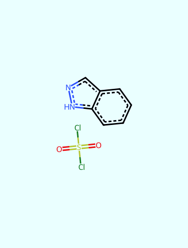 O=S(=O)(Cl)Cl.c1ccc2[nH]ncc2c1